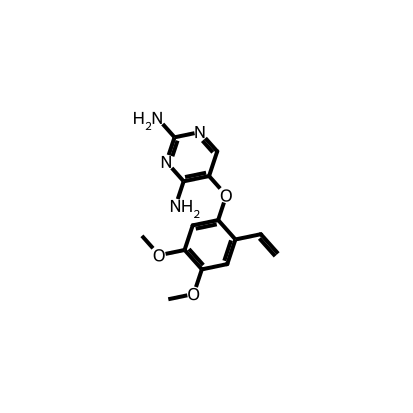 C=Cc1cc(OC)c(OC)cc1Oc1cnc(N)nc1N